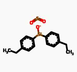 CCc1ccc([S+]([O-])c2ccc(CC)cc2)cc1.O=S=O